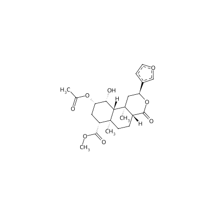 COC(=O)[C@@H]1C[C@H](OC(C)=O)[C@H](O)[C@H]2[C@@]1(C)CC[C@H]1C(=O)O[C@H](c3ccoc3)C[C@]21C